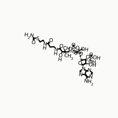 CC(C)(COP(=O)(O)OP(=O)(O)OC[C@H]1O[C@@H](n2cnc3c(N)ncnc32)[C@H](O)[C@@H]1OP(=O)(O)O)[C@@H](O)C(=O)NCCC(=O)NCCSC(N)=O